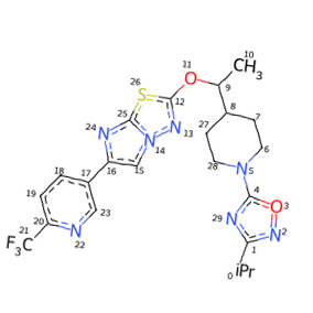 CC(C)c1noc(N2CCC(C(C)Oc3nn4cc(-c5ccc(C(F)(F)F)nc5)nc4s3)CC2)n1